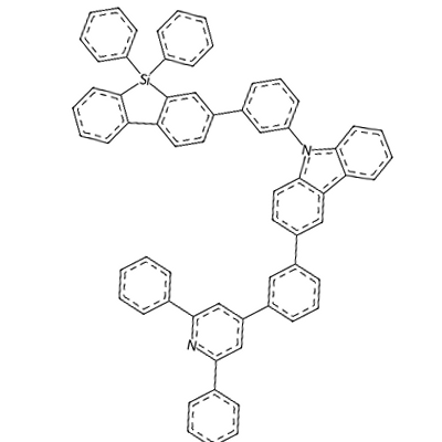 c1ccc(-c2cc(-c3cccc(-c4ccc5c(c4)c4ccccc4n5-c4cccc(-c5ccc6c(c5)[Si](c5ccccc5)(c5ccccc5)c5ccccc5-6)c4)c3)cc(-c3ccccc3)n2)cc1